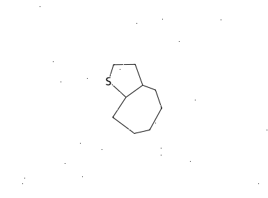 C1CCC2CCSC2CC1